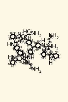 Cl.NCCCC[C@@](N)(C(=O)Cc1c(-c2ccccc2)[nH]c2ccccc12)C(=O)Nc1ccc(C(c2ccc(NC(=O)[C@@](N)(CCCCN)C(=O)Cc3c(-c4ccccc4)[nH]c4ccccc34)cc2)c2ccc(NC(=O)[C@@](N)(CCCCN)C(=O)Cc3c(-c4ccccc4)[nH]c4ccccc34)cc2)cc1